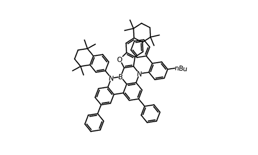 CCCCc1ccc(N2c3cc(-c4ccccc4)cc4c3B(c3oc5cc6c(cc5c32)C(C)(C)CCC6(C)C)N(c2ccc3c(c2)C(C)(C)CCC3(C)C)c2ccc(-c3ccccc3)cc2-4)c(-c2ccccc2)c1